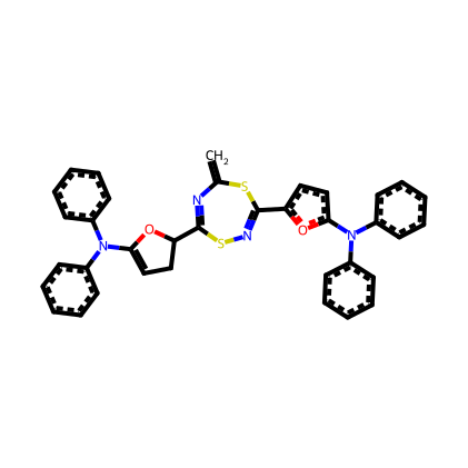 C=C1N=C(C2CC=C(N(c3ccccc3)c3ccccc3)O2)SN=C(c2ccc(N(c3ccccc3)c3ccccc3)o2)S1